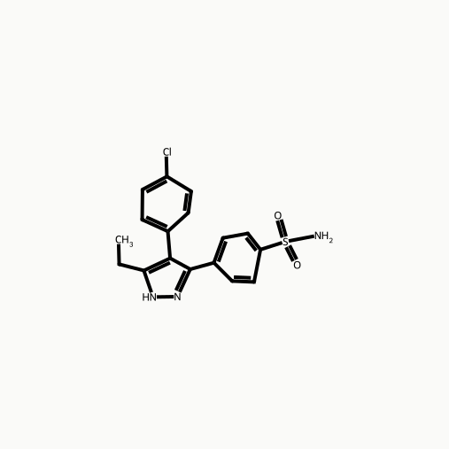 CCc1[nH]nc(-c2ccc(S(N)(=O)=O)cc2)c1-c1ccc(Cl)cc1